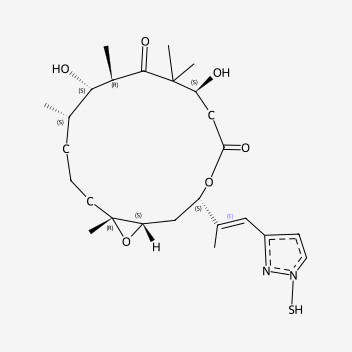 C/C(=C\c1ccn(S)n1)[C@@H]1C[C@@H]2O[C@]2(C)CCC[C@H](C)[C@H](O)[C@@H](C)C(=O)C(C)(C)[C@@H](O)CC(=O)O1